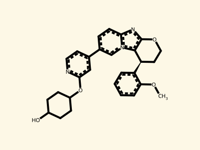 COc1ccccc1[C@@H]1CCOc2nc3ccc(-c4ccnc(OC5CCC(O)CC5)c4)cn3c21